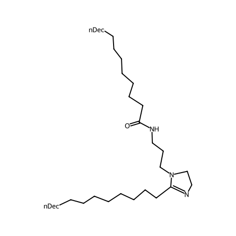 CCCCCCCCCCCCCCCCCCC1=NCCN1CCCNC(=O)CCCCCCCCCCCCCCCCC